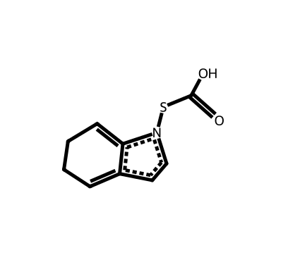 O=C(O)Sn1ccc2c1=CCCC=2